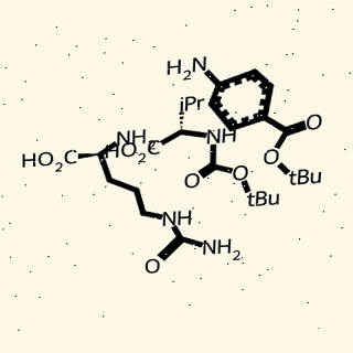 CC(C)(C)OC(=O)c1ccc(N)cc1.CC(C)[C@H](NC(=O)OC(C)(C)C)C(=O)O.NC(=O)NCCC[C@H](N)C(=O)O